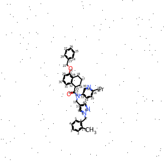 Cc1ccccc1Cn1cc(CN(C(=O)C2CCCc3c(OCc4ccccc4)cccc32)c2ccc(C(C)C)nc2)cn1